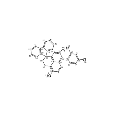 Oc1cc2c3c(c(O)ccc3c1-c1ccc(Cl)cc1F)CCC2(c1ccccc1)c1ccccc1